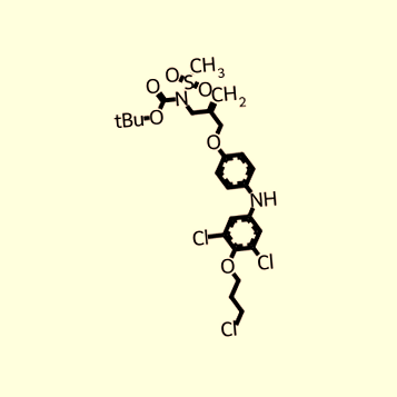 C=C(COc1ccc(Nc2cc(Cl)c(OCCCCl)c(Cl)c2)cc1)CN(C(=O)OC(C)(C)C)S(C)(=O)=O